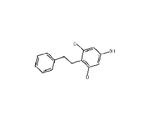 Oc1cc(Cl)c(CCc2ccccc2)c(Cl)c1